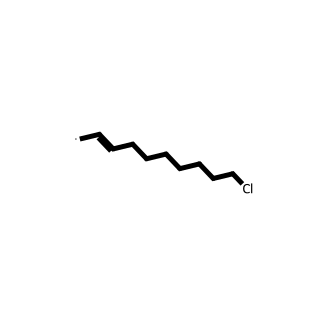 [CH2]C=CCCCCCCCCl